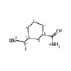 CC(C1CCCC(C(N)=O)C1)C(C)(C)C